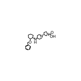 O=C(O)N1CC[C@H](N2CCC(NC3CCCCC3OCc3ccccc3)CC2)C1